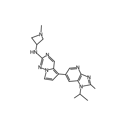 Cc1nc2ncc(-c3ccn4nc(NC5CN(C)C5)ncc34)cc2n1C(C)C